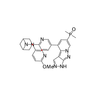 COc1ccc(CN2C3CC2CN(c2ccc(-c4cc(P(C)(C)=O)cn5nc6[nH]ncc6c45)cn2)C3)cn1